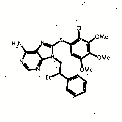 CCC(Cn1c(Sc2cc(OC)c(OC)c(OC)c2Cl)nc2c(N)ncnc21)c1ccccc1